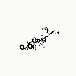 Cc1c(NC(=O)NCCN(CCO)CCO)cn2ncc(C#N)c(Nc3ccc(Oc4ccccc4)cc3)c12